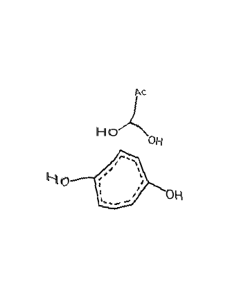 CC(=O)C(O)O.Oc1ccc(O)cc1